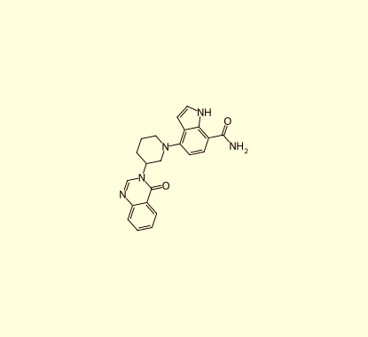 NC(=O)c1ccc(N2CCCC(n3cnc4ccccc4c3=O)C2)c2cc[nH]c12